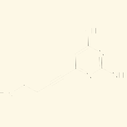 CCCC#Cc1cc(C)nc(N)n1